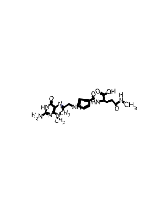 C=Nc1nc(N)[nH]c(=O)c1/N=C(\C)CNc1ccc(C(=O)NC(CCC(=O)NC)C(=O)O)cc1